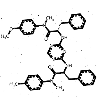 COc1ccc(N(C)C(=O)[C@H](Cc2ccccc2)Nc2ncnc(N[C@@H](Cc3ccccc3)C(=O)N(C)c3ccc(C)cc3)n2)cc1